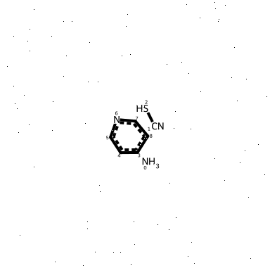 N.N#CS.c1ccncc1